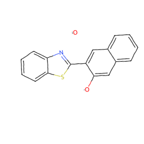 [O].[O]c1cc2ccccc2cc1-c1nc2ccccc2s1